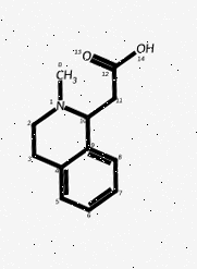 CN1CCc2ccccc2C1CC(=O)O